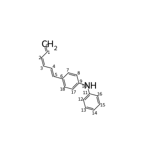 C=C/C=C\C=C\c1ccc(Nc2ccccc2)cc1